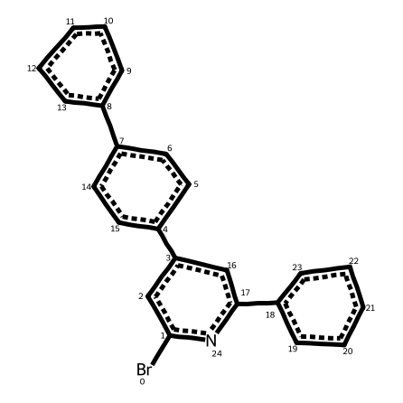 Brc1cc(-c2ccc(-c3ccccc3)cc2)cc(-c2ccccc2)n1